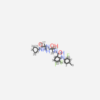 Cc1ccc(Nc2c(C(=O)N3CC(O)(CNC(C)(C)C(=O)NC4CCCCC4)C3)ccc(F)c2F)c(F)c1